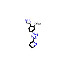 COc1cc(-n2nnc(-c3ccccn3)n2)ccc1CCN